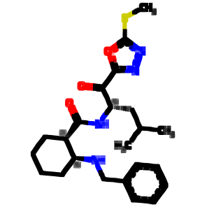 CSc1nnc(C(=O)[C@H](CC(C)C)NC(=O)[C@@H]2CCCC[C@@H]2NCc2ccccc2)o1